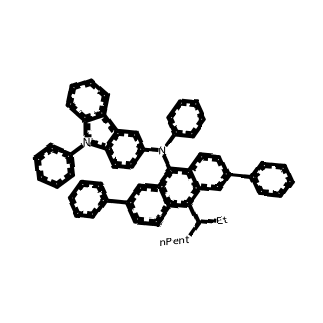 CCCCCC(CC)c1c2cc(-c3ccccc3)ccc2c(N(c2ccccc2)c2ccc3c(c2)c2ccccc2n3-c2ccccc2)c2cc(-c3ccccc3)ccc12